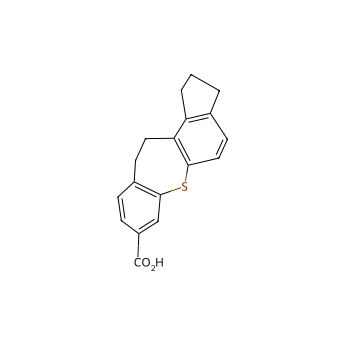 O=C(O)c1ccc2c(c1)Sc1ccc3c(c1CC2)CCC3